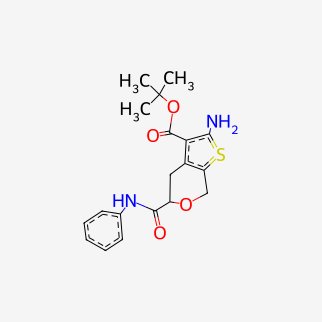 CC(C)(C)OC(=O)c1c(N)sc2c1CC(C(=O)Nc1ccccc1)OC2